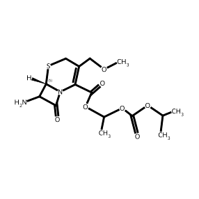 COCC1=C(C(=O)OC(C)OC(=O)OC(C)C)N2C(=O)C(N)[C@@H]2SC1